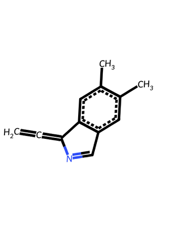 C=C=C1N=Cc2cc(C)c(C)cc21